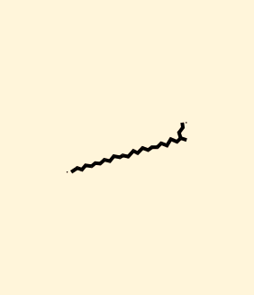 [CH2]CCCCCCCCCCCCCCCCCCCCCCC(C)CC[CH2]